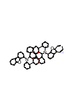 C=Cc1oc2c(N(c3ccccc3-c3ccccc3)c3cc4c5ccccc5c(N(c5ccccc5-c5ccccc5)c5cccc6c5oc5ccccc56)cc4c4ccccc34)cccc2c1/C=C\C